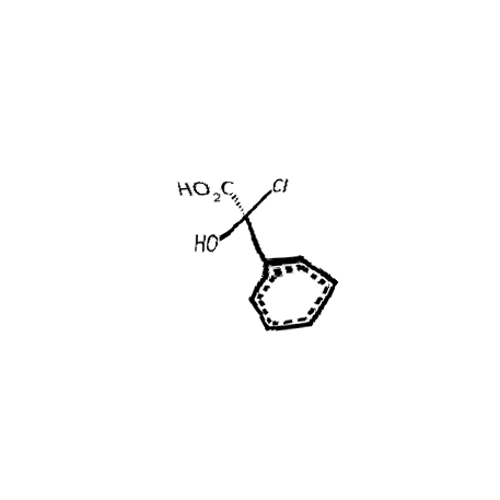 O=C(O)[C@](O)(Cl)c1ccccc1